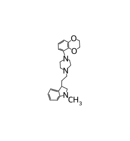 CN1CC(CCN2CCN(c3cccc4c3OCCO4)CC2)c2ccccc21